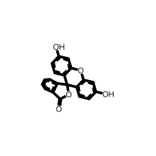 O=C1OC2(c3ccc(O)[c]c3Oc3cc(O)ccc32)c2ccccc21